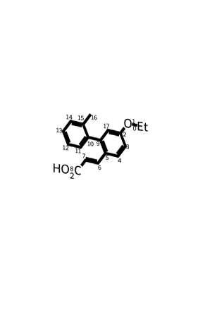 CCOc1ccc(/C=C/C(=O)O)c(-c2ccccc2C)c1